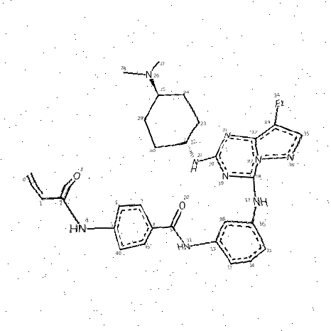 C=CC(=O)Nc1ccc(C(=O)Nc2cccc(Nc3nc(N[C@H]4CC[C@H](N(C)C)CC4)nc4c(CC)cnn34)c2)cc1